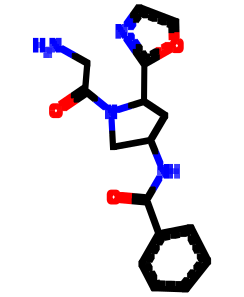 NCC(=O)N1CC(NC(=O)c2ccccc2)CC1c1ncco1